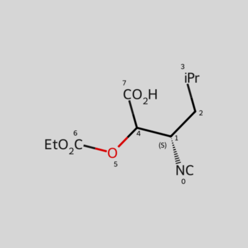 [C-]#[N+][C@@H](CC(C)C)C(OC(=O)OCC)C(=O)O